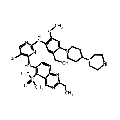 CCc1ncc2c(P(C)(C)=O)c(Nc3nc(Nc4cc(CC)c(N5CCC(N6CCNCC6)CC5)cc4OC)ncc3Br)ccc2n1